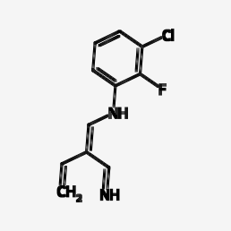 C=C/C(C=N)=C/Nc1cccc(Cl)c1F